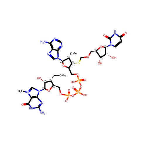 COC[C@H]1[C@@H](O)[C@H](n2c[n+](C)c3c(=O)[nH]c(N)nc32)O[C@@H]1COP(=O)([O-])OP(=O)(O)OP(=O)(O)OCC1O[C@@H](n2cnc3c(N)ncnc32)[C@H](OC)[C@@H]1SCOC[C@H]1O[C@@H](n2ccc(=O)[nH]c2=O)[C@H](O)[C@@H]1O